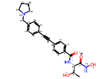 C[C@@H](O)[C@H](NC(=O)c1ccc(C#Cc2ccc(CN3CCCC3)cc2)cc1)C(=O)NO